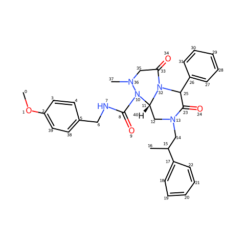 COc1ccc(CNC(=O)N2[C@H]3CN(CC(C)c4ccccc4)C(=O)C(c4ccccc4)N3C(=O)CN2C)cc1